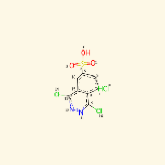 Cl.O=S(=O)(O)c1ccc2c(Cl)nnc(Cl)c2c1